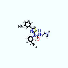 CN(C)CCNC(=O)N(c1cccc(C(F)(F)F)c1)c1nc(-c2cccc(C#N)c2)cs1